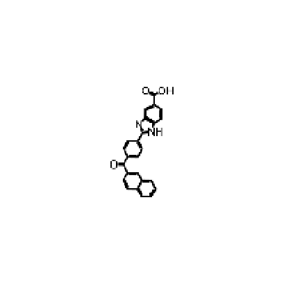 O=C(O)c1ccc2[nH]c(-c3ccc(C(=O)c4ccc5ccccc5c4)cc3)nc2c1